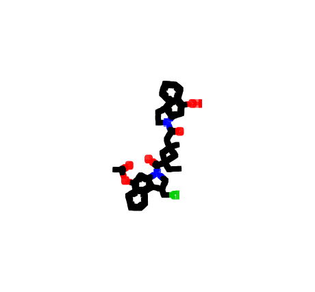 CCC1(C(=O)N2CC(CCl)c3c2cc(OC(C)=O)c2ccccc32)CC(C)(CC(=O)N2CCc3c2cc(O)c2ccccc32)C1